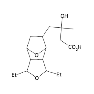 CCC1OC(CC)C2C3OC(CC3CC(C)(O)CC(=O)O)C12